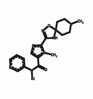 CCN(C(=O)c1cnc(C2=NOC3(CCN(C)CC3)N2)n1C)c1cccnc1